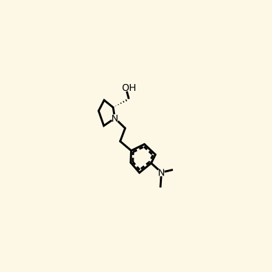 CN(C)c1ccc(CCN2CCC[C@@H]2CO)cc1